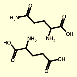 NC(=O)CCC(N)C(=O)O.NC(CCC(=O)O)C(=O)O